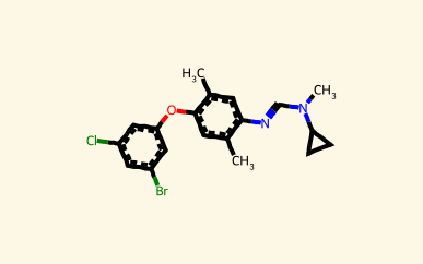 Cc1cc(Oc2cc(Cl)cc(Br)c2)c(C)cc1N=CN(C)C1CC1